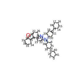 c1ccc(-c2ccc(N(c3ccc(-c4ccccc4)cc3)c3ccc4c(ccc5oc6ccccc6c54)n3)cc2)cc1